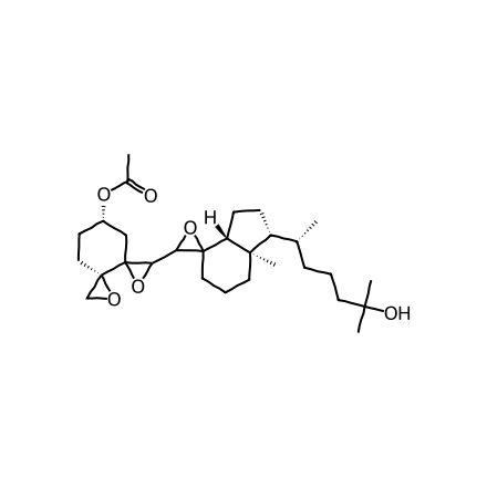 CC(=O)O[C@H]1CC[C@]2(CO2)C2(C1)OC2C1OC12CCC[C@]1(C)[C@@H]([C@H](C)CCCC(C)(C)O)CC[C@@H]21